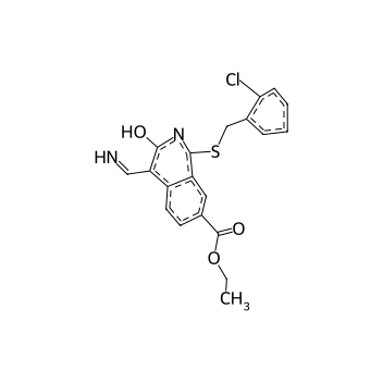 CCOC(=O)c1ccc2c(C=N)c(O)nc(SCc3ccccc3Cl)c2c1